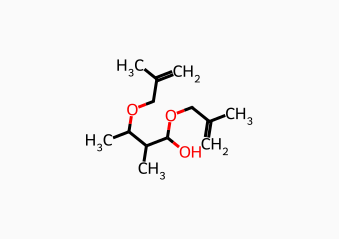 C=C(C)COC(C)C(C)C(O)OCC(=C)C